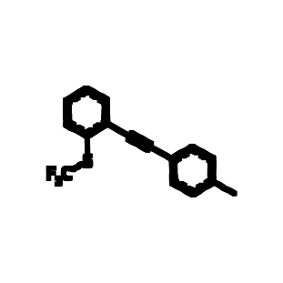 Cc1ccc(C#Cc2ccccc2SC(F)(F)F)cc1